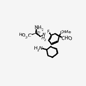 COC1(C=O)C=CC=C(F)C1.NC1CCCCC1.NC[C@H](N)C(=O)O